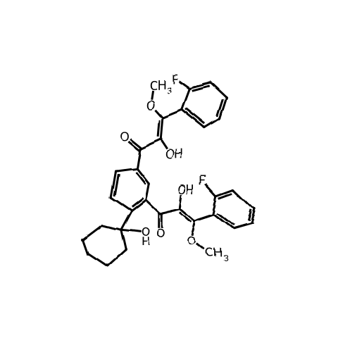 COC(=C(O)C(=O)c1ccc(C2(O)CCCCC2)c(C(=O)C(O)=C(OC)c2ccccc2F)c1)c1ccccc1F